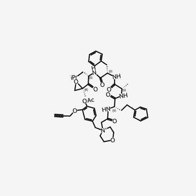 C#CCOc1cc(C[N+]2(CC(=O)N[C@@H](CCc3ccccc3)C(=O)N[C@@H](C)C(=O)N[C@@H](Cc3ccccc3)C(=O)N[C@@H](CC(C)C)C(=O)[C@@]3(C)CO3)CCOCC2)ccc1OC(C)=O